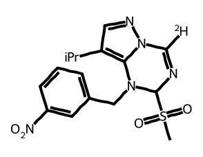 [2H]C1=NC(S(C)(=O)=O)N(Cc2cccc([N+](=O)[O-])c2)c2c(C(C)C)cnn21